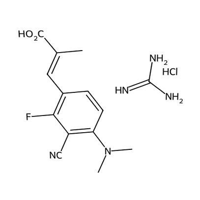 C/C(=C\c1ccc(N(C)C)c(C#N)c1F)C(=O)O.Cl.N=C(N)N